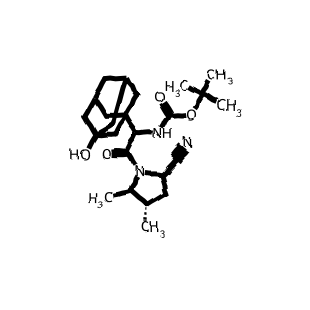 CC1[C@@H](C)CC(C#N)N1C(=O)C(NC(=O)OC(C)(C)C)C12CC3CC(CC(O)(C3)C1)C2